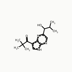 CC(C)C(O)c1cnc2[nH]cc(C(=O)C(C)(C)C)c2n1